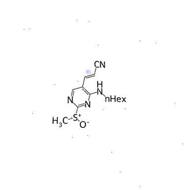 CCCCCCNc1nc([S+](C)[O-])ncc1/C=C/C#N